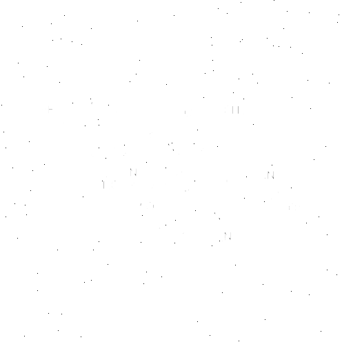 Cc1cc2[nH]c(=O)c3cnn(C4CCOCC4)c3c2cc1C(=O)N1CCN(C)C(c2ccc(F)cc2)C1